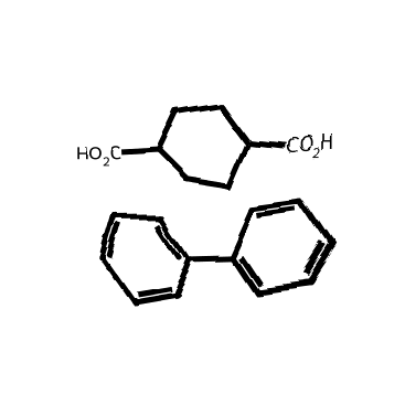 O=C(O)C1CCC(C(=O)O)CC1.c1ccc(-c2ccccc2)cc1